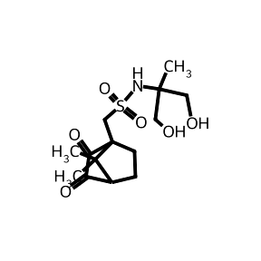 CC(CO)(CO)NS(=O)(=O)CC12CCC(C(=O)C1=O)C2(C)C